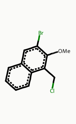 COc1c(Br)cc2ccccc2c1CCl